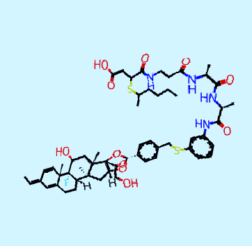 C/C=C1\C=C[C@@]2(C)C(=C1)CC[C@@H]1[C@]2(F)[C@@H](O)C[C@@]2(C)[C@@]1(C)C[C@H]1O[C@@H](c3ccc(CSc4cccc(NC(=O)[C@H](C)NC(=O)[C@H](C)NC(=O)CCNC(=O)C(CC(=O)O)SC(C)CCCC)c4)cc3)O[C@]12C(=O)CO